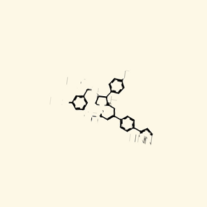 CC(O[C@H]1CN2C(=O)C=C(c3ccc(-c4ccn[nH]4)cc3)C[C@H]2C1c1ccc(F)cc1)c1cc(C(F)(F)F)cc(C(F)(F)F)c1